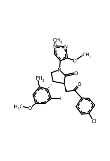 COc1cc(P)c([C@@H]2CN(c3cn(C)nc3OC)C(=O)[C@H]2CC(=O)c2ccc(Cl)cc2)c(I)c1